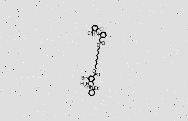 CCC1(NCc2cc(C(=O)OCCCCCCCCCOC(=O)Cc3ccccc3Nc3c(Cl)cccc3Cl)cc(Br)c2N)CCCCC1